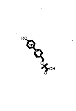 CC(C)(OCc1ccc(C23CCC(O)(CC2)CC3)cc1)C(=O)O